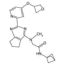 CN(CC(=O)NC12CC(C1)C2)c1nc(-c2cc(OC3COC3)ccn2)nc2c1CCC2